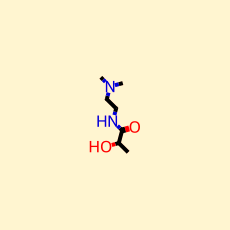 CC(O)C(=O)NCCN(C)C